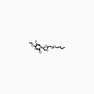 CCCCOOCC1OC(n2cc(F)c(OCC)nc2=O)CS1